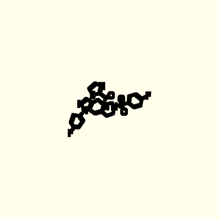 O=C(c1nccs1)[C@]12Cc3cnn(-c4ccc(F)cc4)c3C=C1CCN(S(=O)(=O)c1ccc(F)cc1)C2